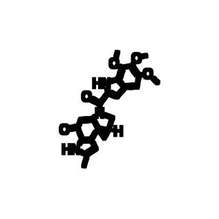 COc1cc2cc(C(=O)N3C[C@H]4CC45C3=CC(=O)c3[nH]c(C)cc35)[nH]c2c(OC)c1OC